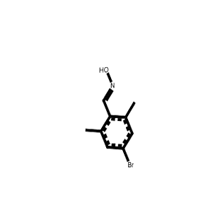 Cc1cc(Br)cc(C)c1C=NO